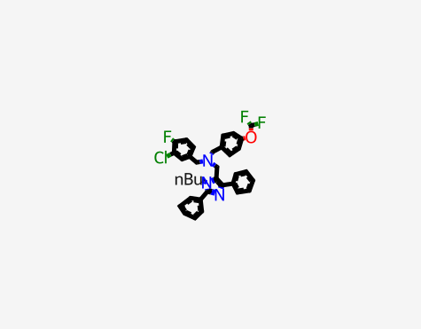 CCCCn1c(-c2ccccc2)nc(-c2ccccc2)c1CN(Cc1ccc(OC(F)F)cc1)Cc1ccc(F)c(Cl)c1